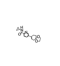 O=C(NC1CC1)c1ccc(C2=CCC3(CC2)OCCO3)cn1